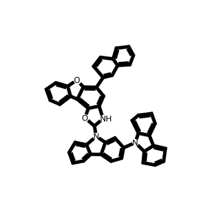 c1ccc2cc(-c3cc4c(c5c3oc3ccccc35)OC(n3c5ccccc5c5ccc(-n6c7ccccc7c7ccccc76)cc53)N4)ccc2c1